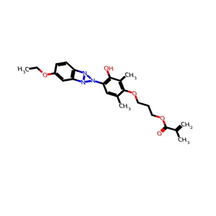 C=C(C)C(=O)OCCCOc1c(C)cc(-n2n3c4ccc(OCC)cc4n23)c(O)c1C